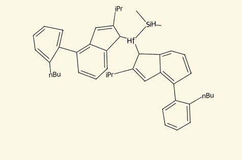 CCCCc1ccccc1-c1cccc2c1C=C(C(C)C)[CH]2[Hf]([CH]1C(C(C)C)=Cc2c(-c3ccccc3CCCC)cccc21)[SiH](C)C